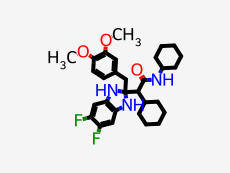 COc1ccc(CC2(C(C(=O)NC3CCCCC3)C3CCCCC3)Nc3cc(F)c(F)cc3N2)cc1OC